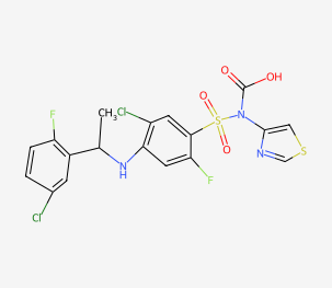 CC(Nc1cc(F)c(S(=O)(=O)N(C(=O)O)c2cscn2)cc1Cl)c1cc(Cl)ccc1F